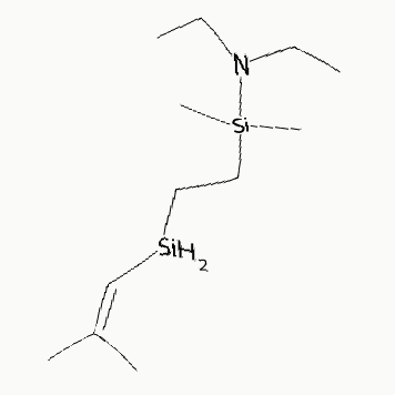 CCN(CC)[Si](C)(C)CC[SiH2]C=C(C)C